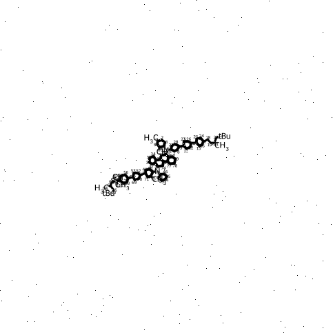 Cc1ccc(N(c2ccc(-c3ccc(-c4ccc(CCC(C)CC(C)(C)C)cc4)cc3)cc2)c2cc3c4ccccc4c(N(c4ccccc4)c4ccc(-c5ccc(-c6ccc([Si](C)(C)CC(C)CC(C)(C)C)cc6)cc5)cc4C)cc3c3ccccc23)c(C)c1